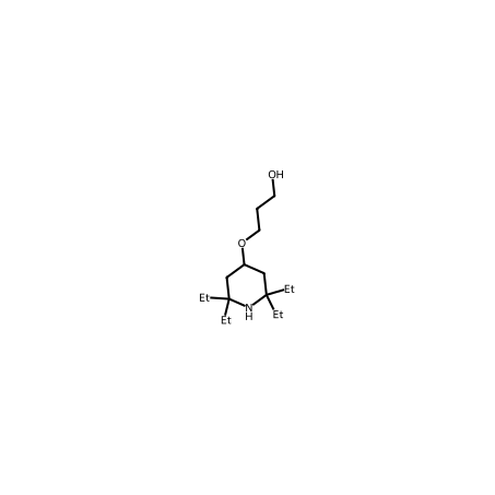 CCC1(CC)CC(OCCCO)CC(CC)(CC)N1